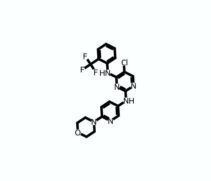 FC(F)(F)c1ccccc1Nc1nc(Nc2ccc(N3CCOCC3)nc2)ncc1Cl